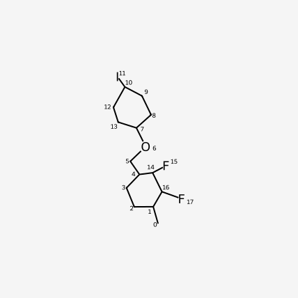 CC1CCC(COC2CCC(I)CC2)C(F)C1F